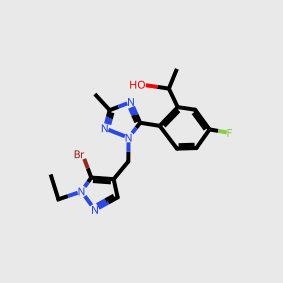 CCn1ncc(Cn2nc(C)nc2-c2ccc(F)cc2C(C)O)c1Br